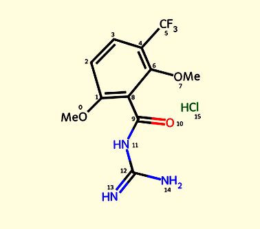 COc1ccc(C(F)(F)F)c(OC)c1C(=O)NC(=N)N.Cl